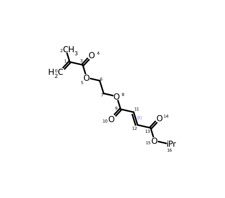 C=C(C)C(=O)OCCOC(=O)/C=C/C(=O)OC(C)C